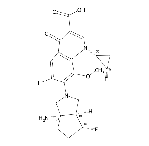 COc1c(N2C[C@H]3[C@H](F)CC[C@@]3(N)C2)c(F)cc2c(=O)c(C(=O)O)cn([C@@H]3C[C@@H]3F)c12